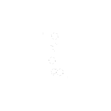 O=C(NCc1ccc(-c2cnc3cc(Cl)ccn23)cc1)Nc1cccc(C(F)(F)F)c1